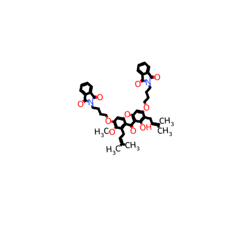 COc1c(OCCCCN2C(=O)c3ccccc3C2=O)cc2oc3cc(OCCCCN4C(=O)c5ccccc5C4=O)c(CC=C(C)C)c(O)c3c(=O)c2c1CC=C(C)C